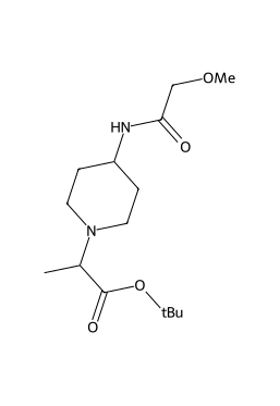 COCC(=O)NC1CCN(C(C)C(=O)OC(C)(C)C)CC1